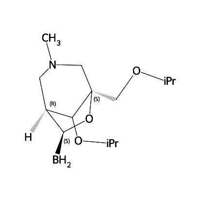 B[C@@H]1O[C@]2(COC(C)C)CN(C)C[C@H]1C2OC(C)C